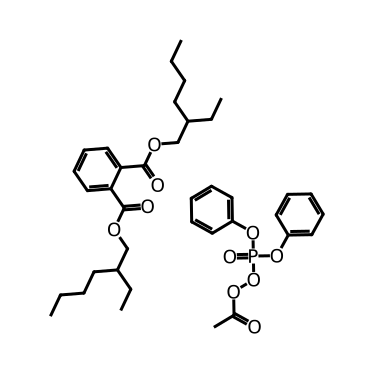 CC(=O)OOP(=O)(Oc1ccccc1)Oc1ccccc1.CCCCC(CC)COC(=O)c1ccccc1C(=O)OCC(CC)CCCC